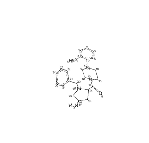 N#Cc1ccccc1N1CCN(C(=O)C2CC(N)CN2Cc2ccccc2)CC1